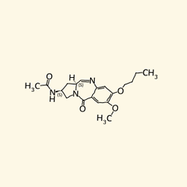 CCCCOc1cc2c(cc1OC)C(=O)N1C[C@@H](NC(C)=O)C[C@H]1C=N2